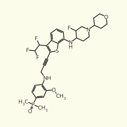 COc1cc(P(C)(C)=O)ccc1NCC#Cc1sc2c(NC3CCN(C4CCOCC4)CC3F)cccc2c1C(F)C(F)F